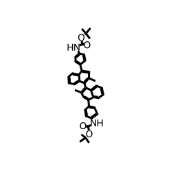 Cc1cc(-c2ccc(NC(=O)OC(C)(C)C)cc2)c2ccccc2c1-c1c(C)cc(-c2ccc(NC(=O)OC(C)(C)C)cc2)c2ccccc12